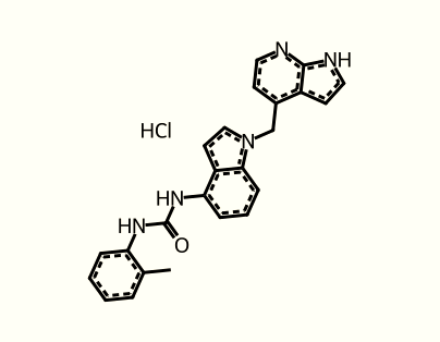 Cc1ccccc1NC(=O)Nc1cccc2c1ccn2Cc1ccnc2[nH]ccc12.Cl